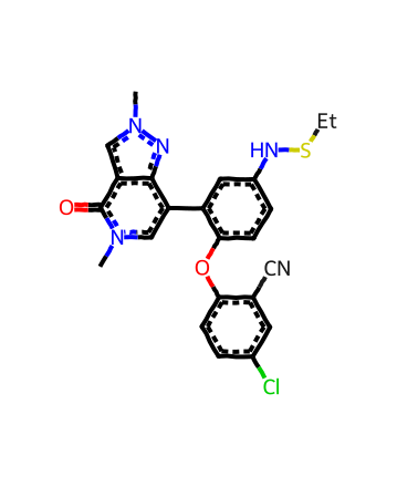 CCSNc1ccc(Oc2ccc(Cl)cc2C#N)c(-c2cn(C)c(=O)c3cn(C)nc23)c1